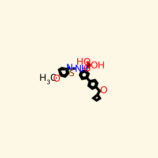 COc1ccc2nc(Nc3ccc(-c4ccc(C(=O)C5CCC5)cc4)cc3)sc2c1.O=C(O)O